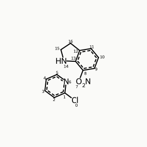 Clc1ccccn1.O=[N+]([O-])c1cccc2c1NCC2